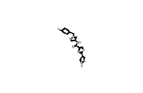 O=C(Nc1cnn(Cc2ccc(F)cc2)c1)c1coc(-c2cn[nH]c2)n1